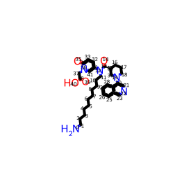 NCCCCCCCCCCCN(C(=O)[C@H]1CCCN(c2cncc3ccccc23)C1)c1ccc(=O)n(CC(=O)O)c1